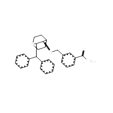 COC(=O)c1cccc(C/N=C2\C3CCN(CC3)C2C(c2ccccc2)c2ccccc2)c1